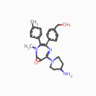 Cc1ccc(C2=C(c3ccc(CO)cc3)N=C(N3CCC(N)CC3)C3OC3N2C)cc1